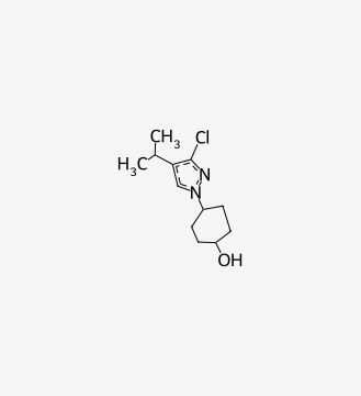 CC(C)c1cn(C2CCC(O)CC2)nc1Cl